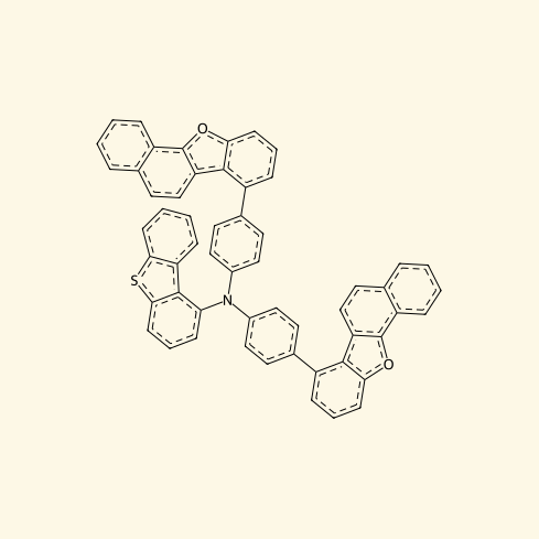 c1ccc2c(c1)ccc1c2oc2cccc(-c3ccc(N(c4ccc(-c5cccc6oc7c8ccccc8ccc7c56)cc4)c4cccc5sc6ccccc6c45)cc3)c21